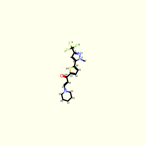 Cn1nc(C(F)(F)F)cc1-c1ccc(C(=O)C=CN2CCCCC2)s1